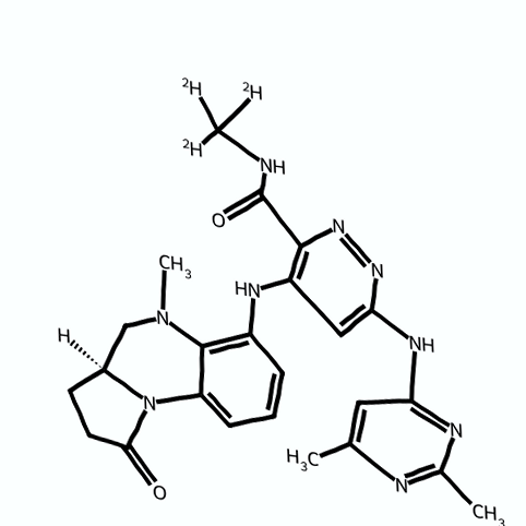 [2H]C([2H])([2H])NC(=O)c1nnc(Nc2cc(C)nc(C)n2)cc1Nc1cccc2c1N(C)C[C@@H]1CCC(=O)N21